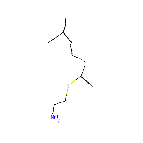 CC(C)CCCC(C)SCCN